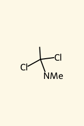 CNC(C)(Cl)Cl